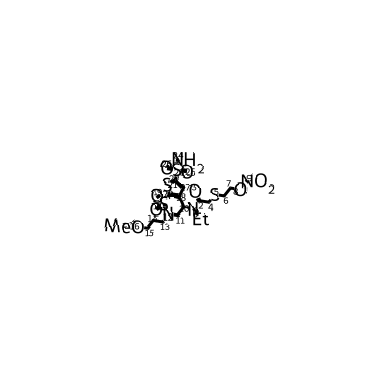 CCN(C(=O)CSCCO[N+](=O)[O-])[C@H]1CN(CCCOC)S(=O)(=O)c2sc(S(N)(=O)=O)cc21